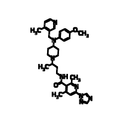 COc1ccc(N(Cc2cnccc2C)C2CCN(C(C)CCNC(=O)c3c(C)cc(-n4cncn4)nc3C)CC2)cc1